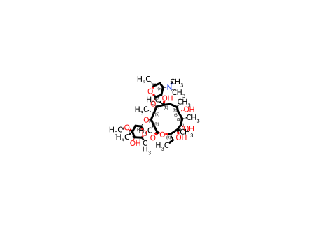 CC[C@H]1OC(=O)[C@H](C)[C@@H](O[C@H]2C[C@@](C)(OC)[C@@H](O)[C@H](C)O2)[C@H](C)[C@@H](O[C@H]2C[C@@H](N(C)C)C[C@@H](C)O2)[C@](C)(O)C[C@@H](C)[C@H](O)[C@H](C)[C@@H](O)[C@]1(C)O